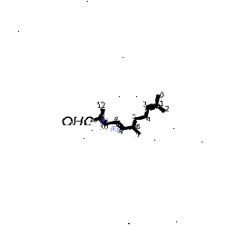 CC(C)=CCCC(C)/C=C/C=C(\C)C=O